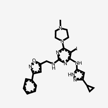 CN1CCN(c2nc(NCc3cc(-c4ccccc4)no3)nc(Nc3cc(C4CC4)n[nH]3)c2I)CC1